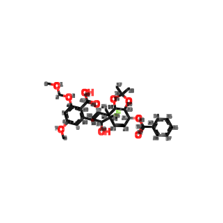 COCOc1cc(OC)cc(/C=C/CC2OC(C)(C)OC2C(/C=C\C(C)(F)C(C)O)OC(=O)c2ccccc2)c1C(=O)O